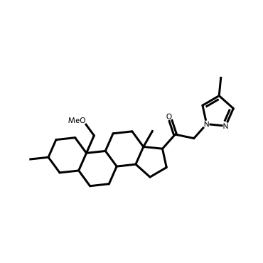 COCC12CCC(C)CC1CCC1C3CCC(C(=O)Cn4cc(C)cn4)C3(C)CCC12